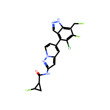 O=C(Nc1cc2cc(-c3c(Cl)c(F)c(CF)c4[nH]ncc34)ccn2n1)C1CC1F